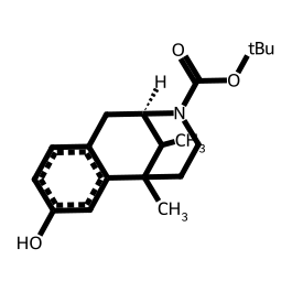 CC1[C@H]2Cc3ccc(O)cc3C1(C)CCN2C(=O)OC(C)(C)C